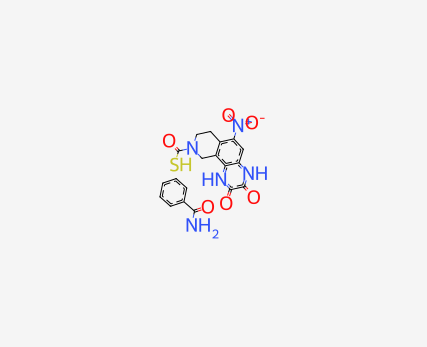 NC(=O)c1ccccc1.O=C(S)N1CCc2c([N+](=O)[O-])cc3[nH]c(=O)c(=O)[nH]c3c2C1